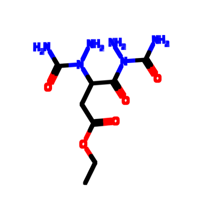 CCOC(=O)CC(C(=O)N(N)C(N)=O)N(N)C(N)=O